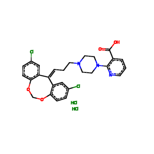 Cl.Cl.O=C(O)c1cccnc1N1CCN(CCC=C2c3cc(Cl)ccc3OCOc3ccc(Cl)cc32)CC1